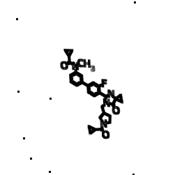 CN(C(=O)C1CC1)c1cccc(-c2ccc(C3=NC4(CC4)C(=O)N3CC3CCN(C(=O)C4CC4)C3)c(F)c2)c1